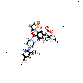 CCc1cnc(N2CCN(C(=O)c3ccc(N4C(=O)OCC4(C)C)cc3N3CCCS3(=O)=O)CC2)c(C)c1